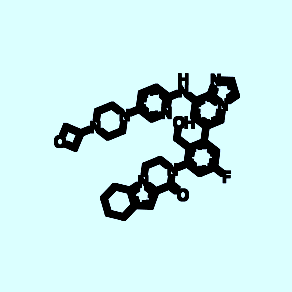 O=C1c2cc3c(n2CCN1c1cc(F)cc(-c2cc(Nc4ccc(N5CCN(C6COC6)CC5)cn4)c4nccn4c2)c1CO)CCCC3